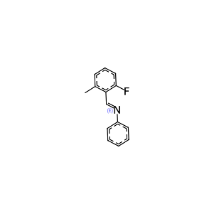 Cc1cccc(F)c1/C=N/c1ccccc1